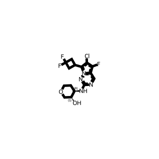 O[C@@H]1COCC[C@H]1Nc1ncc2c(F)c(Cl)c(C3CC(F)(F)C3)n2n1